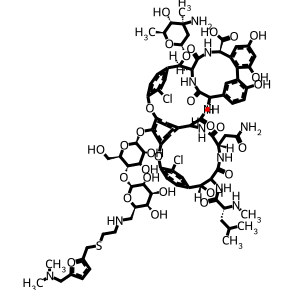 CN[C@H](CC(C)C)C(=O)NC1C(=O)N[C@@H](CC(N)=O)C(=O)N[C@H]2C(=O)N[C@H]3C(=O)N[C@H](C(=O)N[C@@H](C(=O)O)c4cc(O)cc(O)c4-c4cc3ccc4O)[C@H](O[C@H]3C[C@](C)(N)[C@@H](O)[C@H](C)O3)c3ccc(c(Cl)c3)Oc3cc2cc(c3O[C@@H]2O[C@H](CO)[C@@H](O[C@@H]3O[C@H](CNCCSCc4ccc(CN(C)C)o4)[C@H](O)[C@H](O)[C@H]3O)[C@H](O)[C@H]2O)Oc2ccc(cc2Cl)[C@H]1O